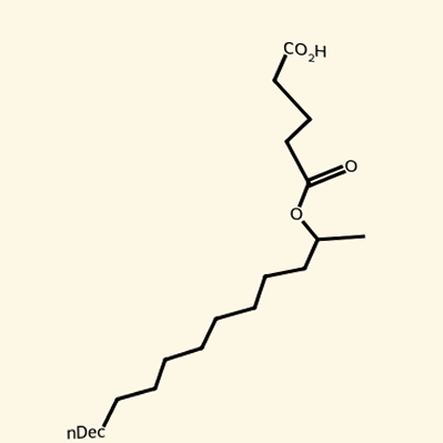 CCCCCCCCCCCCCCCCCCC(C)OC(=O)CCCC(=O)O